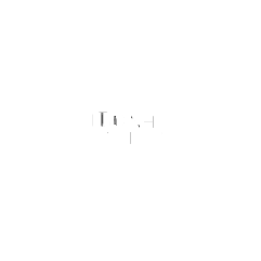 N.O.[F].[Ta]